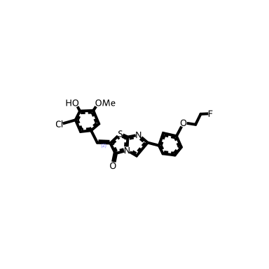 COc1cc(/C=c2\sc3nc(-c4cccc(OCCF)c4)cn3c2=O)cc(Cl)c1O